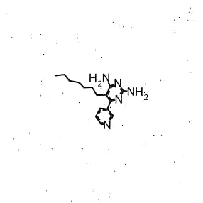 CCCCCCCc1c(N)nc(N)nc1-c1cccnc1